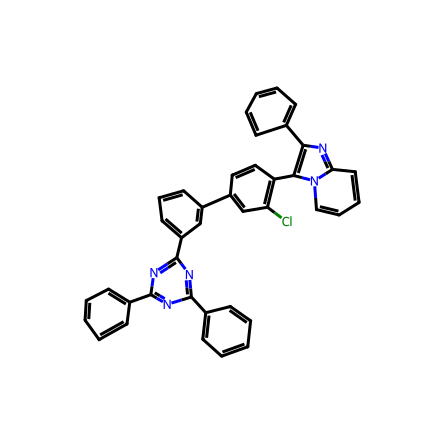 Clc1cc(-c2cccc(-c3nc(-c4ccccc4)nc(-c4ccccc4)n3)c2)ccc1-c1c(-c2ccccc2)nc2ccccn12